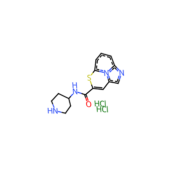 Cl.Cl.O=C(NC1CCNCC1)C1=Cc2cnc3cccc(n23)S1